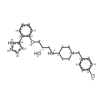 O[C@@H](CNC1CCN(Cc2ccc(Cl)cc2)CC1)COc1ccccc1-c1nnn[nH]1